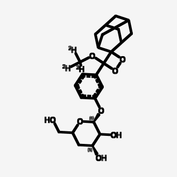 [2H]C([2H])([2H])OC1(c2cccc(O[C@@H]3OC(CO)C[C@H](O)C3O)c2)OOC12C1CC3CC(C1)CC2C3